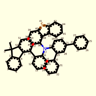 CC1(C)c2ccccc2-c2c(-c3ccccc3N(c3ccc(-c4ccccc4)cc3-c3ccccc3)c3cccc4sc5ccccc5c34)cccc21